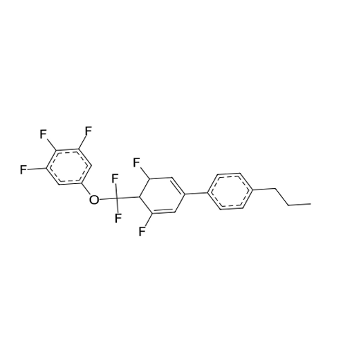 CCCc1ccc(C2=CC(F)C(C(F)(F)Oc3cc(F)c(F)c(F)c3)C(F)=C2)cc1